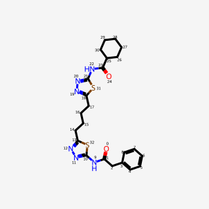 O=C(Cc1ccccc1)Nc1nnc(CCCCc2nnc(NC(=O)C3CCCCC3)s2)s1